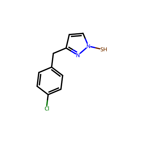 Sn1ccc(Cc2ccc(Cl)cc2)n1